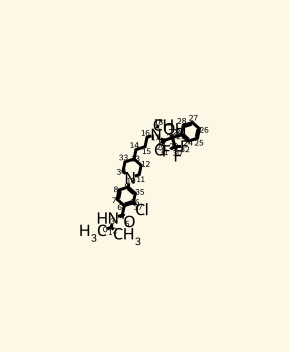 CC(C)NC(=O)c1ccc(N2CCC(CCCN(C)C(=O)C(O)(c3ccccc3)C(F)(F)F)CC2)cc1Cl